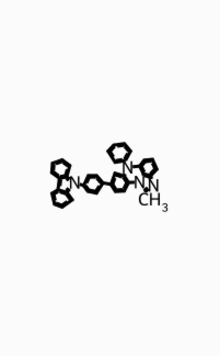 Cc1nc2cccc3c2n1-c1ccc(-c2ccc(-n4c5ccccc5c5ccccc54)cc2)cc1N3c1ccccc1